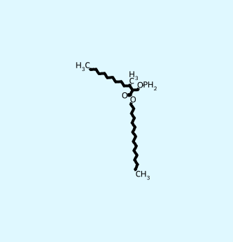 CCCCCCCCCCCCCCCCOC(=O)C(COP)C(C)CCCCCCCCCC